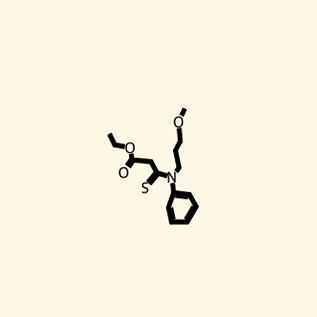 CCOC(=O)CC(=S)N(CCCOC)c1ccccc1